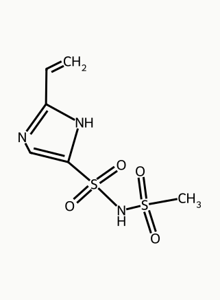 C=Cc1ncc(S(=O)(=O)NS(C)(=O)=O)[nH]1